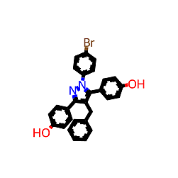 Oc1ccc(-c2nn(-c3ccc(Br)cc3)c(-c3ccc(O)cc3)c2Cc2ccccc2)cc1